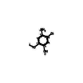 COc1cc(N)[n+]([O-])cc1O